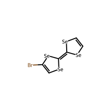 BrC1=C[Se]C(=C2[Se]C=C[Se]2)[Se]1